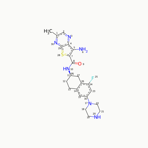 Cc1cnc2c(N)c(C(=O)N[C@@H]3CCc4cc(N5CCNCC5)cc(F)c4C3)sc2n1